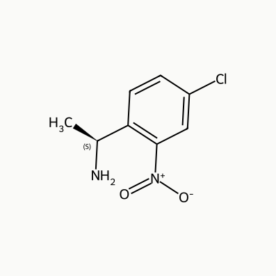 C[C@H](N)c1ccc(Cl)cc1[N+](=O)[O-]